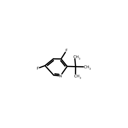 CC(C)(C)c1ncc(F)cc1F